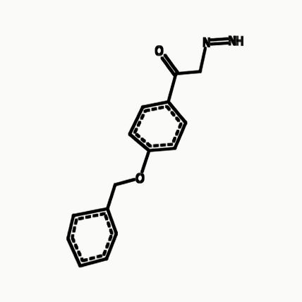 N=NCC(=O)c1ccc(OCc2ccccc2)cc1